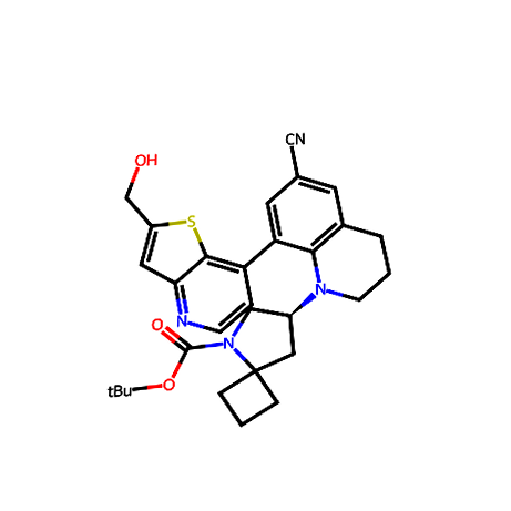 CC(C)(C)OC(=O)N1C[C@@H](N2CCCc3cc(C#N)cc(-c4ccnc5cc(CO)sc45)c32)CC12CCC2